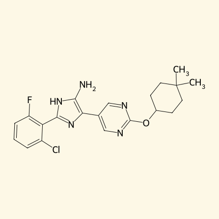 CC1(C)CCC(Oc2ncc(-c3nc(-c4c(F)cccc4Cl)[nH]c3N)cn2)CC1